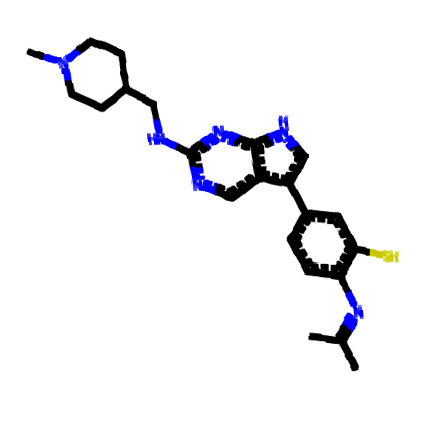 CC(C)=Nc1ccc(-c2c[nH]c3nc(NCC4CCN(C)CC4)ncc23)cc1S